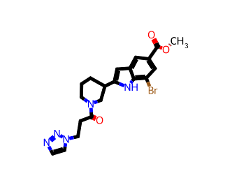 COC(=O)c1cc(Br)c2[nH]c(C3CCCN(C(=O)CCn4ccnn4)C3)cc2c1